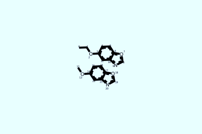 CCOc1ccc2ocnc2c1.COc1ccc2ocnc2c1